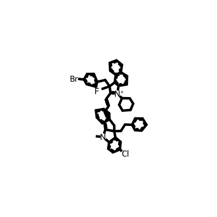 CN1/C(=C/C=C/C=C/C2=[N+](C3CCCCC3)c3ccc4ccccc4c3C2(C)Cc2ccc(Br)cc2F)C(CCc2ccccc2)(Cc2ccccc2)c2cc(Cl)ccc21